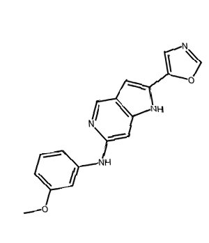 COc1cccc(Nc2cc3[nH]c(-c4cnco4)cc3cn2)c1